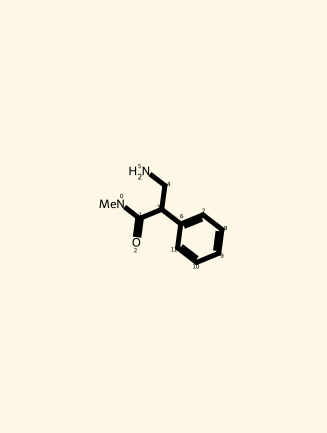 CNC(=O)C(CN)c1ccccc1